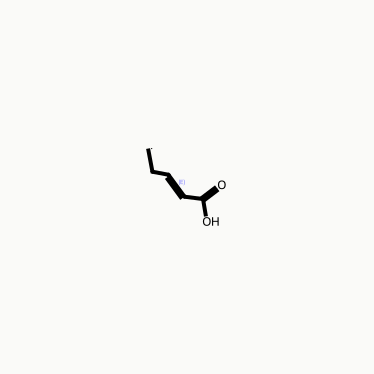 [CH2]C/C=C/C(=O)O